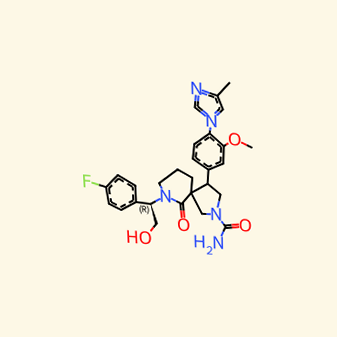 COc1cc(C2CN(C(N)=O)CC23CCCN([C@@H](CO)c2ccc(F)cc2)C3=O)ccc1-n1cnc(C)c1